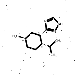 CC(C)[C@@H]1CC[C@@H](C)C[C@@H]1c1nc[nH]n1